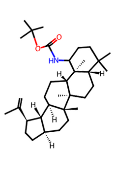 C=C(C)[C@@H]1CC[C@@H]2CC[C@]3(C)[C@H](CC[C@@H]4[C@@]5(C)C(NC(=O)OC(C)(C)C)CCC(C)(C)[C@@H]5CC[C@]43C)[C@H]21